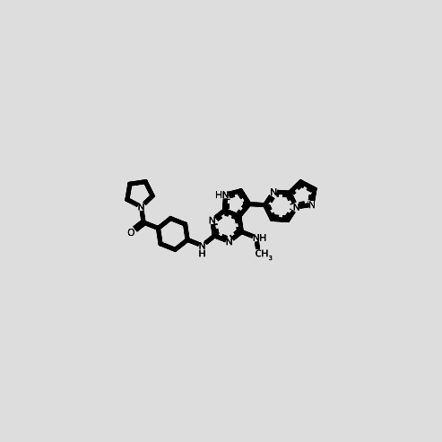 CNc1nc(NC2CCC(C(=O)N3CCCC3)CC2)nc2[nH]cc(-c3ccn4nccc4n3)c12